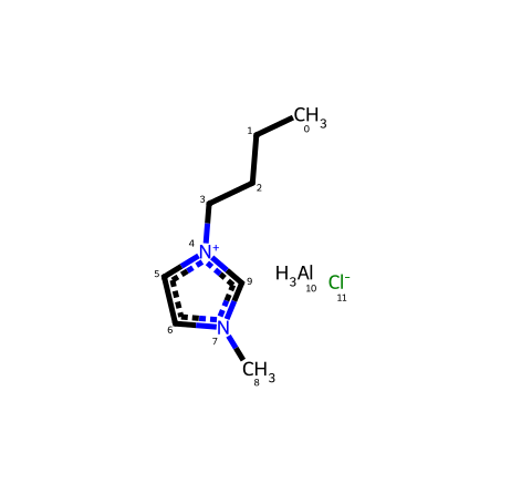 CCCC[n+]1ccn(C)c1.[AlH3].[Cl-]